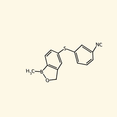 [C-]#[N+]c1cccc(Sc2ccc3c(c2)COB3C)c1